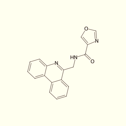 O=C(NCc1nc2ccccc2c2ccccc12)c1cocn1